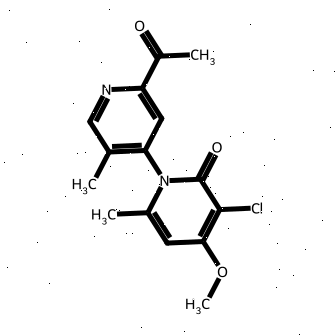 COc1cc(C)n(-c2cc(C(C)=O)ncc2C)c(=O)c1Cl